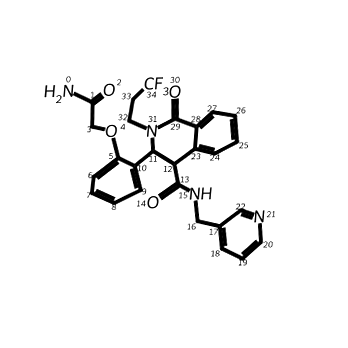 NC(=O)COc1ccccc1C1C(C(=O)NCc2cccnc2)c2ccccc2C(=O)N1CCC(F)(F)F